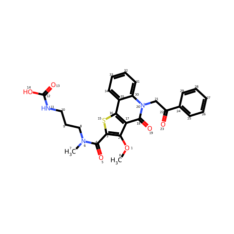 COc1c(C(=O)N(C)CCCNC(=O)O)sc2c1c(=O)n(CC(=O)c1ccccc1)c1ccccc21